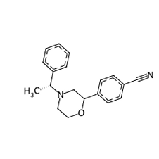 C[C@H](c1ccccc1)N1CCOC(c2ccc(C#N)cc2)C1